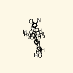 CC1(C)C(NC(=O)c2ccc(N3C[C@@H]4C(CO)[C@@H]4C3)nn2)C(C)(C)C1Oc1ccc(C#N)c(Cl)c1